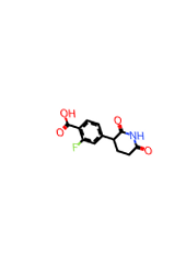 O=C1CCC(c2ccc(C(=O)O)c(F)c2)C(=O)N1